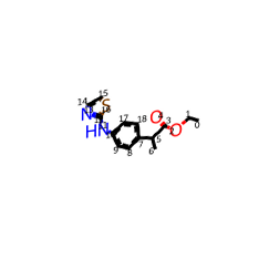 CCOC(=O)C(C)c1ccc(Nc2nccs2)cc1